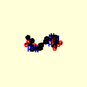 COC(=O)N[C@H](C(=O)N1[C@@H]2CC[C@@H](C2)[C@H]1c1nc2ccc3cc(-c4ccc5c(ccc6nc([C@@H]7CCCN7C(=O)[C@H](NC(=O)OC)c7cccc(C8CCCC8)c7)[nH]c65)c4)ccc3c2[nH]1)C1CCOCC1